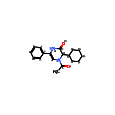 CC(=O)N1C=C(c2ccccc2)NC(=O)C1C1CCCCC1